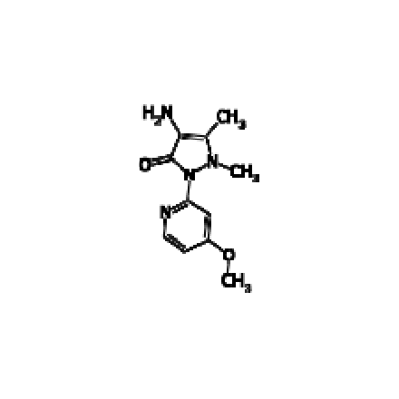 COc1ccnc(-n2c(=O)c(N)c(C)n2C)c1